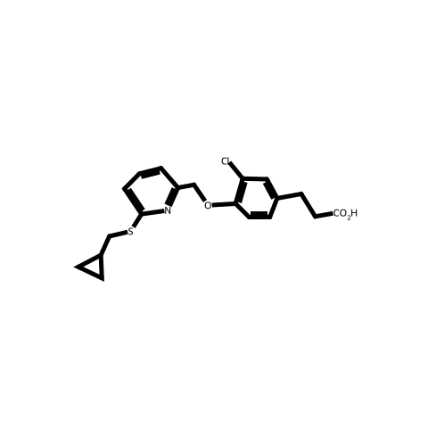 O=C(O)CCc1ccc(OCc2cccc(SCC3CC3)n2)c(Cl)c1